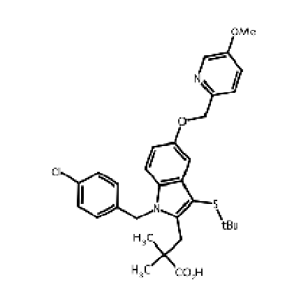 COc1ccc(COc2ccc3c(c2)c(SC(C)(C)C)c(CC(C)(C)C(=O)O)n3Cc2ccc(Cl)cc2)nc1